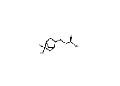 CC(C)(C)C(=O)OCC1CC2CC1CC2(O)F